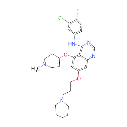 CN1CCC(Oc2cc(OCCCN3CCCCC3)cc3ncnc(Nc4ccc(F)c(Cl)c4)c23)CC1